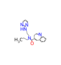 CCCN(CCCNc1ncccn1)C(=O)C1=Cc2ccccc2N=CC1